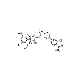 C=CCO[C@@](C(=O)N1CCC(C)(CC2CCN(c3ccc(C(=O)N(C)C)c(Cl)c3)CC2)CC1)(c1cc(Cl)cc(OC)c1)C(C)(F)F